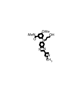 CNC(=O)c1cc(OC)cc(N(CCCO)c2ccc3ncc(-c4cnn(C)c4)nc3c2)c1